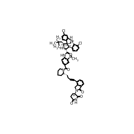 COc1cc(C(=O)N2CCCC[C@H]2CCC#Cc2cccc3c2CN([C@@H]2CCC(=O)NC2=O)C3=O)ccc1NC(=O)[C@@H]1N[C@@H](CC(C)(C)C)[C@@]2(CNc3cc(Cl)ccc32)[C@H]1c1cccc(Cl)c1F